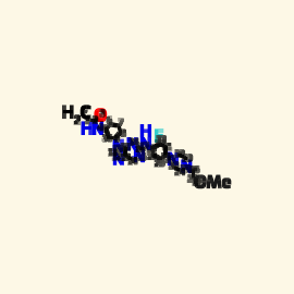 C=CC(=O)Nc1cccc(-n2cnc3cnc(Nc4ccc(N5CCN(CCOC)CC5)cc4F)nc32)c1